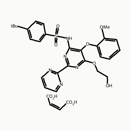 COc1ccccc1Oc1c(NS(=O)(=O)c2ccc(C(C)(C)C)cc2)nc(-c2ncccn2)nc1OCCO.O=C(O)/C=C\C(=O)O